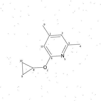 Cc1cc(C)nc(OC2CC2)c1